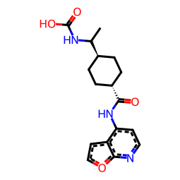 CC(NC(=O)O)[C@H]1CC[C@H](C(=O)Nc2ccnc3occc23)CC1